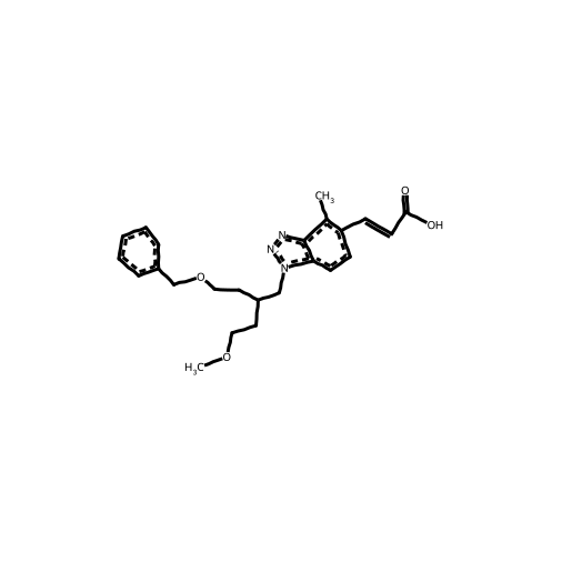 COCCC(CCOCc1ccccc1)Cn1nnc2c(C)c(/C=C/C(=O)O)ccc21